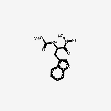 CCN(C#N)C(=O)C(Cc1csc2ccccc12)NC(=O)OC